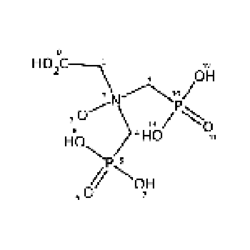 O=C(O)C[N+]([O-])(CP(=O)(O)O)CP(=O)(O)O